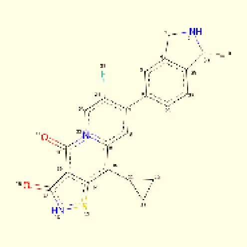 C[C@H]1NCc2cc(-c3cc4c(C5CC5)c5s[nH]c(=O)c5c(=O)n4cc3F)ccc21